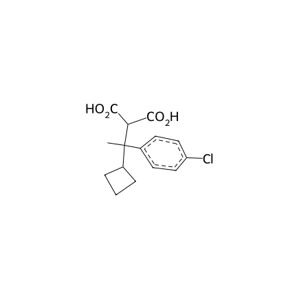 CC(c1ccc(Cl)cc1)(C1CCC1)C(C(=O)O)C(=O)O